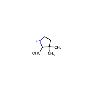 CC1(C)CCNC1[C]=O